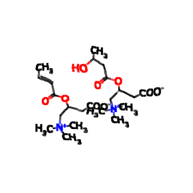 CC(O)CC(=O)OC(CC(=O)[O-])C[N+](C)(C)C.CC=CC(=O)OC(CC(=O)[O-])C[N+](C)(C)C